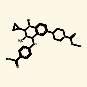 CNC(=O)c1ccc(NC2c3cc(C4CCN(C(=O)OC(C)(C)C)CC4)ccc3N(C(C)=O)C(C3CC3)[C@@H]2C)cc1